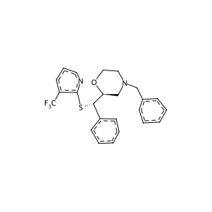 FC(F)(F)c1cccnc1S[C@@H](c1ccccc1)[C@@H]1CN(Cc2ccccc2)CCO1